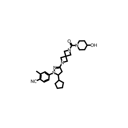 Cc1cc(N2N=C(N3CC4(CN(C(=O)N5CCC(O)CC5)C4)C3)CC2C2CCCC2)ccc1C#N